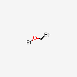 C[CH]COCC